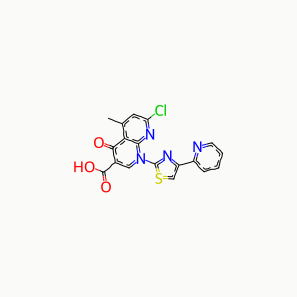 Cc1cc(Cl)nc2c1c(=O)c(C(=O)O)cn2-c1nc(-c2ccccn2)cs1